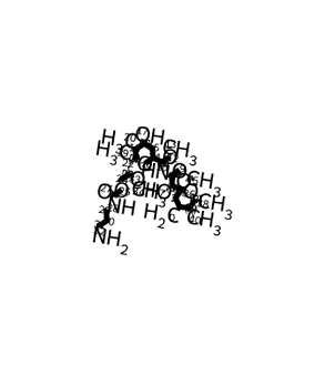 C=C1C[C@](OC)([C@H](O)C(=O)N[C@@H](OC)C2C[C@@H](O)C(C)(C)[C@@H](C[C@@H](COC(=O)NCCCN)OC)O2)O[C@H](C)[C@@H]1C